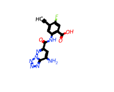 C#Cc1cc(NC(=O)c2cc(N)c3nnnn3n2)c(C(=O)O)cc1F